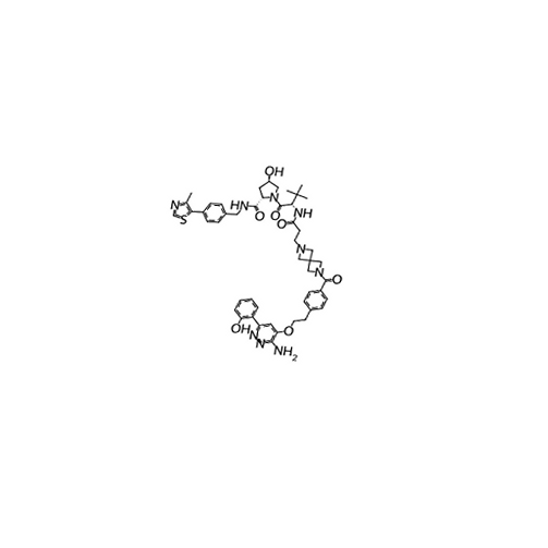 Cc1ncsc1-c1ccc(CNC(=O)[C@@H]2C[C@@H](O)CN2C(=O)[C@@H](NC(=O)CCN2CC3(C2)CN(C(=O)c2ccc(CCOc4cc(-c5ccccc5O)nnc4N)cc2)C3)C(C)(C)C)cc1